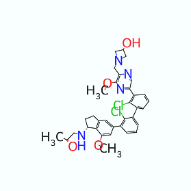 COc1cc(-c2cccc(-c3cccc(-c4cnc(CN5CC(O)C5)c(OC)n4)c3Cl)c2Cl)cc2c1[C@H](NCC(C)=O)CC2